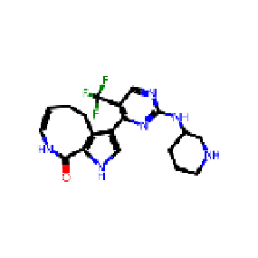 O=C1NC=CCCc2c(-c3nc(NC4CCCNC4)ncc3C(F)(F)F)c[nH]c21